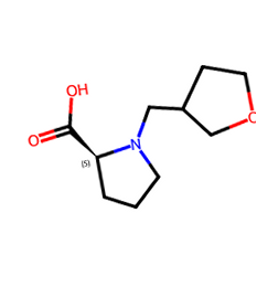 O=C(O)[C@@H]1CCCN1CC1CCOC1